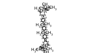 CCO[Si](CCCN(CC1CO1)c1ccc(C(C)(C)c2ccc(C(C)(C)c3ccc(N(CCC[Si](OCC)(OCC)OCC)CC4CO4)cc3)cc2)cc1)(OCC)OCC